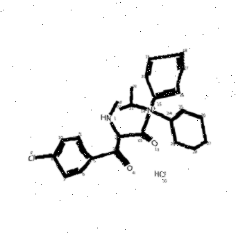 CNC(C(=O)c1ccc(Cl)cc1)C(=O)[N+](c1ccccc1)(C(C)C)C1CCCCC1.Cl